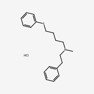 CN(CCCCSc1ccccc1)CCc1ccccc1.Cl